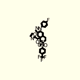 O=S(=O)(c1ccc(C(F)(F)F)cc1)N1CCC2=Cc3c(cnn3-c3ccc(F)cc3)CC2([C@H](O)c2ncco2)C1